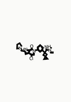 C=CN(C)C(=N)C1(c2cccc(-n3cc(Cl)c4cc(CN5CCCC5)[nH]c4c3=O)c2)CC2(CC2)C1